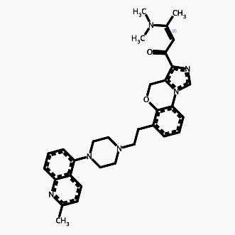 C/C(=C/C(=O)c1ncn2c1COc1c(CCN3CCN(c4cccc5nc(C)ccc45)CC3)cccc1-2)N(C)C